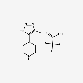 Cc1nn[nH]c1C1CCNCC1.O=C(O)C(F)(F)F